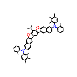 Cc1ccccc1N(c1ccc2cc3c(cc2c1)oc1c(C(C)C)c2oc4cc5cc(N(c6ccccc6C)c6ccc(C)c(C)c6C)ccc5cc4c2cc13)c1ccc(C)c(C)c1C